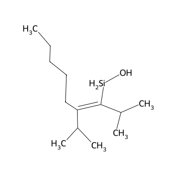 CCCCCC(=C([SiH2]O)C(C)C)C(C)C